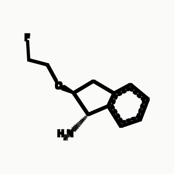 N[C@H]1c2ccccc2C[C@@H]1OCCF